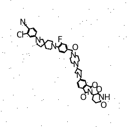 C[C@H]1CC2(CCN(c3ccc(C(=O)N4CCN(C5CN(c6ccc7c(c6)C(=O)N(C6CCC(=O)NC6=O)C7=O)C5)CC4)cc3F)CC2)CN1c1ccc(C#N)c(Cl)c1